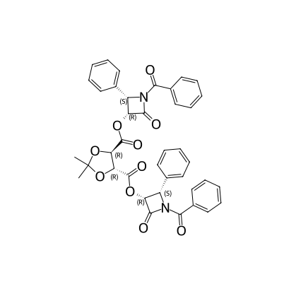 CC1(C)O[C@@H](C(=O)O[C@H]2C(=O)N(C(=O)c3ccccc3)[C@H]2c2ccccc2)[C@H](C(=O)O[C@H]2C(=O)N(C(=O)c3ccccc3)[C@H]2c2ccccc2)O1